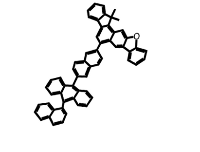 CC1(C)c2ccccc2-c2cc(-c3ccc4cc(-c5c6ccccc6c(-c6cccc7ccccc67)c6ccccc56)ccc4c3)c3cc4c(cc3c21)oc1ccccc14